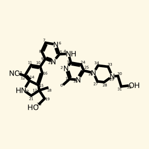 Cc1nc(Nc2nccc(-c3cc(C#N)c4c(c3)C(C)(CO)CN4)n2)cc(N2CCN(CCO)CC2)n1